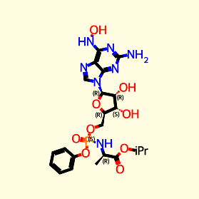 CC(C)OC(=O)[C@@H](C)N[P@](=O)(OC[C@H]1O[C@@H](n2cnc3c(NO)nc(N)nc32)[C@H](O)[C@@H]1O)Oc1ccccc1